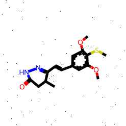 COc1cc(C=CC2=NNC(=O)CC2C)cc(OC)c1SC